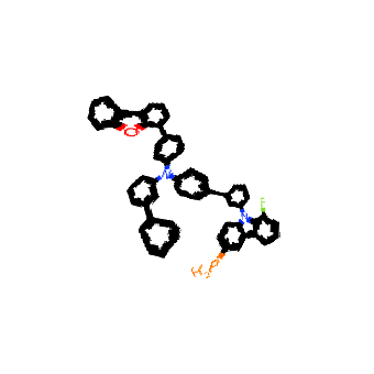 Fc1cccc2c3cc(P)ccc3n(-c3cccc(-c4ccc(N(c5ccc(-c6cccc7c6oc6ccccc67)cc5)c5cccc(-c6ccccc6)c5)cc4)c3)c12